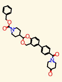 O=C1CCN(C(=O)c2ccc(-c3ccc4c(c3)COC(C3CCN(C(=O)OCc5ccccc5)CC3)O4)cc2)CC1